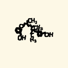 CCC(CCOc1cccc(CO)c1)CCC(CC)CC(CC)CCOc1cccc(CO)c1